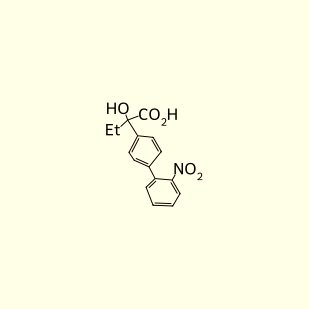 CCC(O)(C(=O)O)c1ccc(-c2ccccc2[N+](=O)[O-])cc1